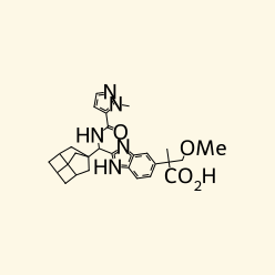 COCC(C)(C(=O)O)c1ccc2[nH]c(C(NC(=O)c3ccnn3C)C34CC5CC6CC(C3)C65C4)nc2c1